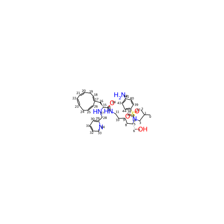 CC(C)CN([C@H](CO)CCCCNC(=O)[C@H](CC1=C/C/C=C\C=C/C/C=C\1)NCc1ccccn1)S(=O)(=O)c1ccc(N)cc1